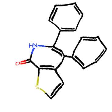 O=c1[nH]c(-c2ccccc2)c(-c2ccccc2)c2ccsc12